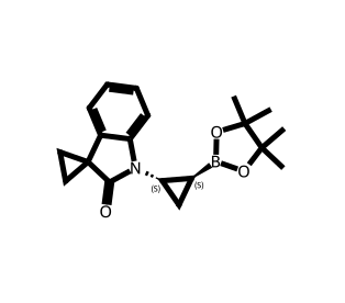 CC1(C)OB([C@H]2C[C@@H]2N2C(=O)C3(CC3)c3ccccc32)OC1(C)C